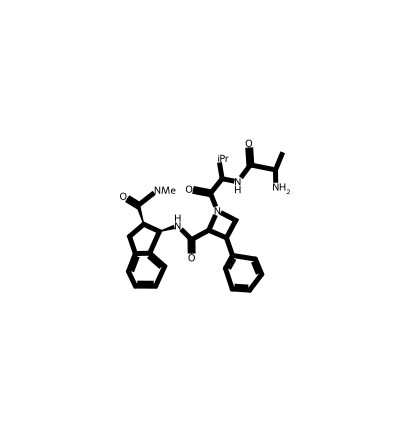 CNC(=O)[C@@H]1Cc2ccccc2[C@@H]1NC(=O)C1C(c2ccccc2)CN1C(=O)C(NC(=O)C(C)N)C(C)C